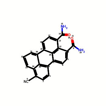 N#Cc1ccc2c3ccc(C(N)=O)c4c(C(N)=O)ccc(c5cccc1c52)c43